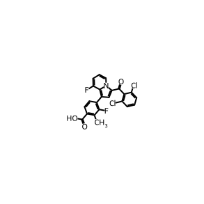 Cc1c(C(=O)O)ccc(-c2cc(C(=O)c3c(Cl)cccc3Cl)n3cccc(F)c23)c1F